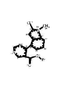 CC(C)OC(=O)c1cncnc1-c1cccc2c1cc(Cl)n2C